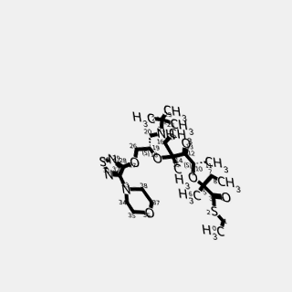 CCSC(=O)C(C)(CC)O[C@@H](C)C(=O)C(C)(CC)O[C@@H](CNC(C)(C)C)COc1nsnc1N1CCOCC1